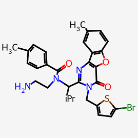 Cc1ccc(C(=O)N(CCN)C(c2nc3c(oc4ccc(C)cc43)c(=O)n2Cc2ccc(Br)s2)C(C)C)cc1